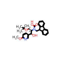 COc1ccc([C@H](O)[C@@H](COC(C)(C)C)N(CC2c3ccccc3-c3ccccc32)C(=O)O)cn1